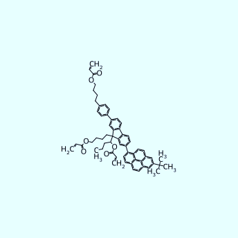 C=CC(=O)OCCCCc1ccc(-c2ccc3c(c2)C(CCCCOC(=O)C=C)(C(CCC)OC(=O)C=C)c2cc(-c4ccc5ccc6cc(C(C)(C)C)cc7ccc4c5c67)ccc2-3)cc1